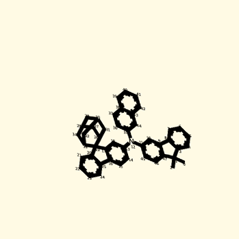 CC1(C)c2ccccc2-c2cc(N(c3ccc4c(c3)C3(c5ccccc5-4)C4CC5CC(C4)CC3C5)c3ccc4ccccc4c3)ccc21